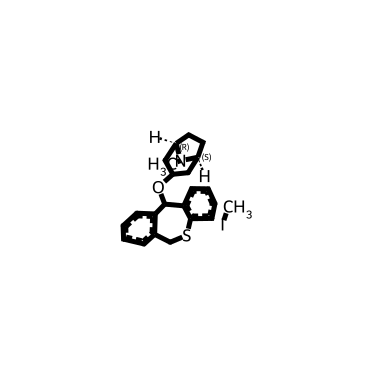 CI.CN1[C@@H]2CC[C@H]1CC(OC1c3ccccc3CSc3ccccc31)C2